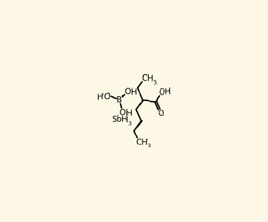 CCCCC(CC)C(=O)O.OB(O)O.[SbH3]